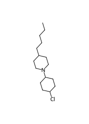 CCCCCC1CCN(C2CCC(Cl)CC2)CC1